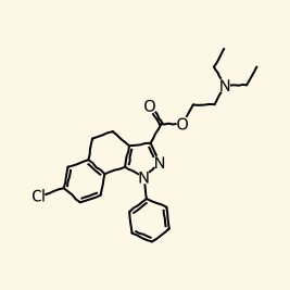 CCN(CC)CCOC(=O)c1nn(-c2ccccc2)c2c1CCc1cc(Cl)ccc1-2